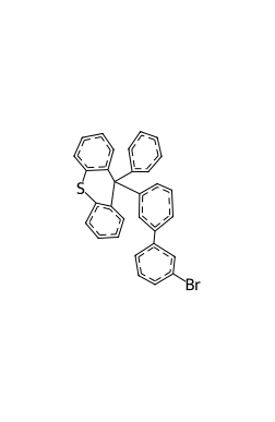 Brc1cccc(-c2cccc(C3(c4ccccc4)c4ccccc4Sc4ccccc43)c2)c1